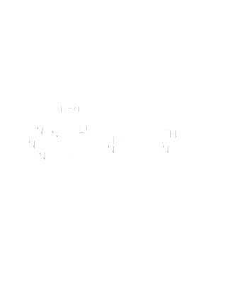 CCCC[C@H](CC)n1nnnc1SCC(=O)NCCCN(C)c1ccccc1